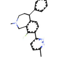 Cc1ccc(-c2ccc3c(c2F)CN(C)CCC3c2ccc(F)cc2)nn1